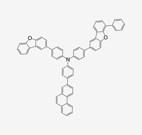 c1ccc(-c2cccc3c2oc2ccc(-c4ccc(N(c5ccc(-c6ccc7c(ccc8ccccc87)c6)cc5)c5ccc(-c6ccc7oc8ccccc8c7c6)cc5)cc4)cc23)cc1